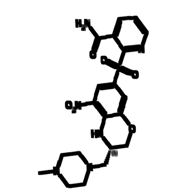 CN1CCN(C[C@H]2COc3cc(S(=O)(=O)c4ncccc4C(N)=O)cc([N+](=O)[O-])c3N2)CC1